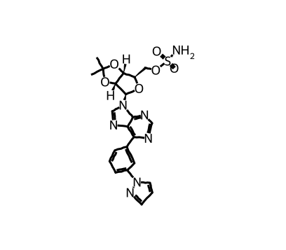 CC1(C)O[C@@H]2[C@H](O1)[C@@H](COS(N)(=O)=O)O[C@H]2n1cnc2c(-c3cccc(-n4cccn4)c3)ncnc21